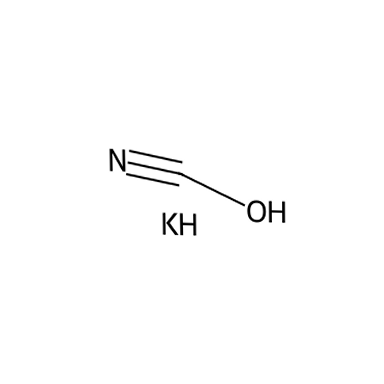 N#CO.[KH]